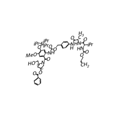 C=CCOC(=O)NC(C(=O)NC(C)C(=O)Nc1ccc(COC(=O)Nc2cc(O[Si](C(C)C)(C(C)C)C(C)C)c(OC)cc2C(=O)N2C[C@@H](OC(=O)c3ccccc3)C[C@H]2CO)cc1)C(C)C